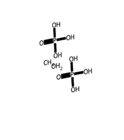 C.O.O=P(O)(O)O.O=P(O)(O)O